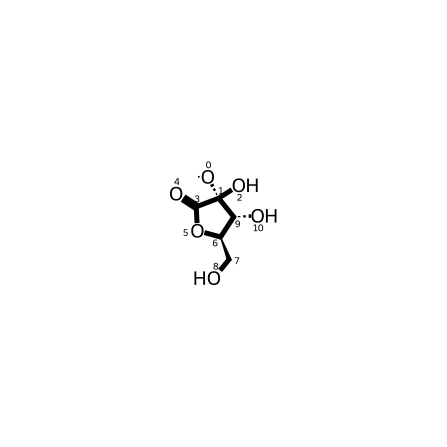 [O][C@@]1(O)C(=O)O[C@H](CO)[C@H]1O